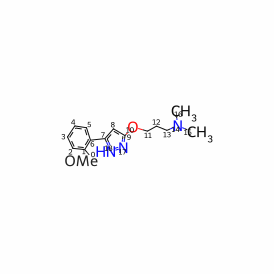 COc1ccccc1-c1cc(OCCCN(C)C)n[nH]1